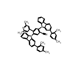 Cc1ccc(-c2ccc3c4ccccc4n(-c4cc(-c5cc(C)nc(C)c5)c(-n5c6ccccc6c6ccc(-c7ccc(C)cc7C)cc65)cc4C#N)c3c2)c(C)c1